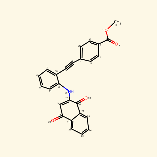 COC(=O)c1ccc(C#Cc2ccccc2NC2=CC(=O)c3ccccc3C2=O)cc1